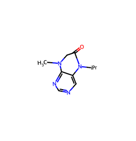 CC(C)N1C(=O)CN(C)c2ncncc21